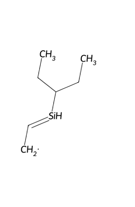 [CH2]C=[SiH]C(CC)CC